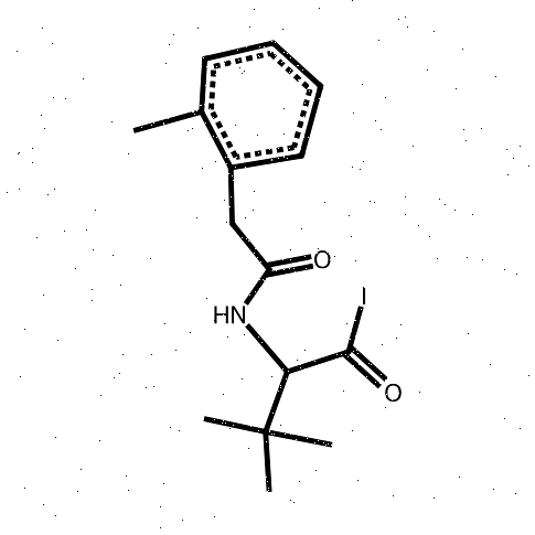 Cc1ccccc1CC(=O)NC(C(=O)I)C(C)(C)C